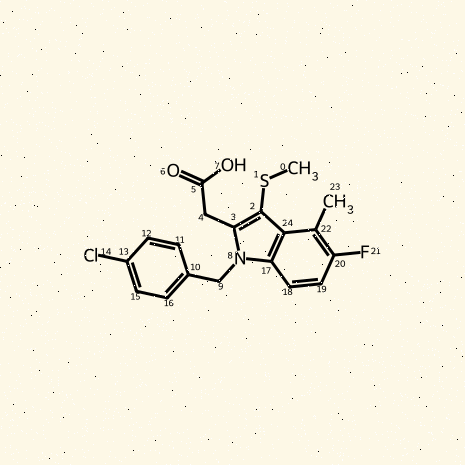 CSc1c(CC(=O)O)n(Cc2ccc(Cl)cc2)c2ccc(F)c(C)c12